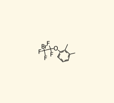 Cc1cccc(OC(F)(F)C(F)(F)Br)c1C